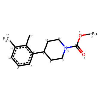 Cc1c(C2CCN(C(=O)OC(C)(C)C)CC2)cccc1C(F)(F)F